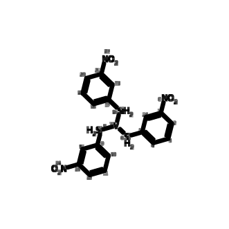 O=[N+]([O-])c1cccc([SiH2][V]([SiH2]c2cccc([N+](=O)[O-])c2)[SiH2]c2cccc([N+](=O)[O-])c2)c1